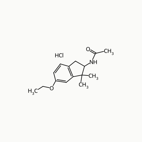 CCOc1ccc2c(c1)C(C)(C)C(NC(C)=O)C2.Cl